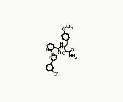 NC(=O)C(=O)C(Cc1ccc(OC(F)(F)F)cc1)NC(=O)c1cccnc1-n1ccc(-c2cccc(C(F)(F)F)c2)n1